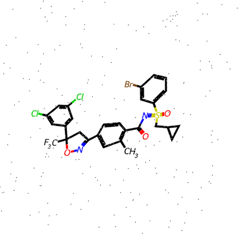 Cc1cc(C2=NOC(c3cc(Cl)cc(Cl)c3)(C(F)(F)F)C2)ccc1C(=O)N=S(=O)(CC1CC1)c1cccc(Br)c1